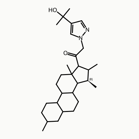 CC1CCC2C(CCC3C2CCC2(C)C(C(=O)Cn4cc(C(C)(C)O)cn4)C(C)[C@@H](C)C32)C1